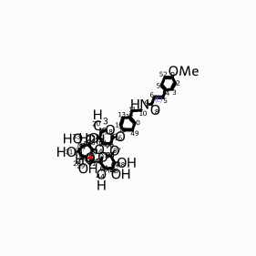 COc1ccc(/C=C/C(=O)NCCc2ccc(O[C@@H]3O[C@@H](C)[C@H](O)[C@@H](O[C@@H]4O[C@H](CO)[C@@H](O)[C@H](O)[C@H]4O)[C@H]3O[C@@H]3O[C@H](CO)[C@@H](O)[C@H](O)[C@H]3O)cc2)cc1